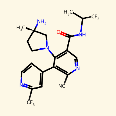 CC(NC(=O)c1cnc(C#N)c(-c2ccnc(C(F)(F)F)c2)c1N1CC[C@](C)(N)C1)C(F)(F)F